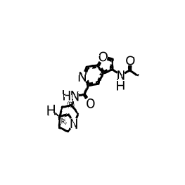 CC(=O)Nc1coc2cnc(C(=O)N[C@@H]3C[C@H]4CCN(C4)C3)cc12